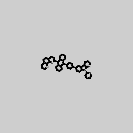 c1ccc(-n2c3ccc(-c4ccc(-c5c6ccccc6c(-c6ccc7ccc8cccnc8c7n6)c6ccccc56)cc4)cc3c3cccnc32)nc1